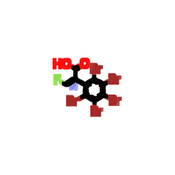 O=C(O)/C(=C\F)c1c(Br)c(Br)c(Br)c(Br)c1Br